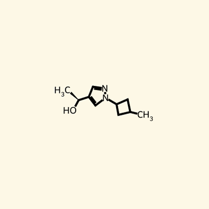 CC1CC(n2cc([C@H](C)O)cn2)C1